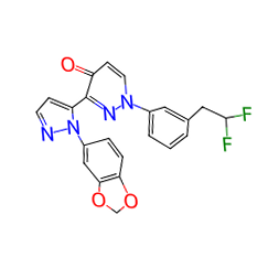 O=c1ccn(-c2cccc(CC(F)F)c2)nc1-c1ccnn1-c1ccc2c(c1)OCO2